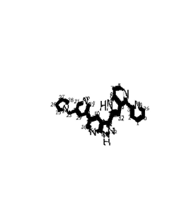 c1ccc(-c2nccc3[nH]c(-c4n[nH]c5ncc(-c6cncc(CN7CCCC7)c6)cc45)cc23)nc1